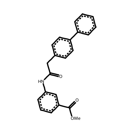 COC(=O)c1cccc(NC(=O)Cc2ccc(-c3ccccc3)cc2)c1